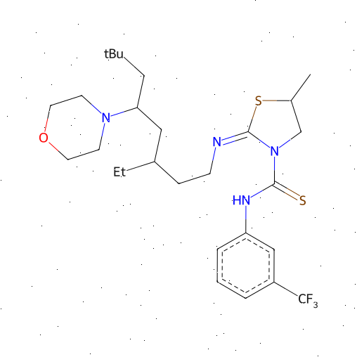 CCC(CC/N=C1/SC(C)CN1C(=S)Nc1cccc(C(F)(F)F)c1)CC(CC(C)(C)C)N1CCOCC1